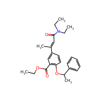 CCOC(=O)c1cc(/C(C)=C/C(=O)N(CC)CC)ccc1OC(C)c1ccccc1